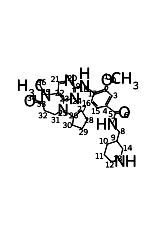 COc1cc(C(=O)NCC2CCCNC2)ccc1Nc1ncc2c(n1)N(C1CCCC1)CCC(=O)N2C